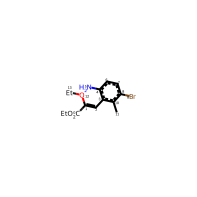 CCOC(=O)C(=Cc1c(N)ccc(Br)c1C)OCC